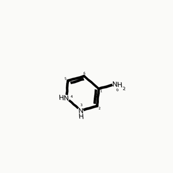 NC1=CNNC=C1